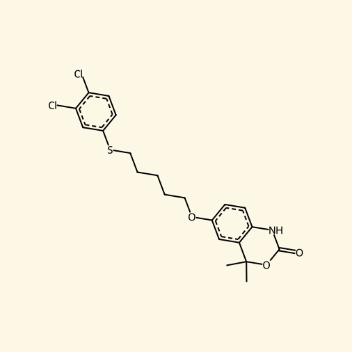 CC1(C)OC(=O)Nc2ccc(OCCCCCSc3ccc(Cl)c(Cl)c3)cc21